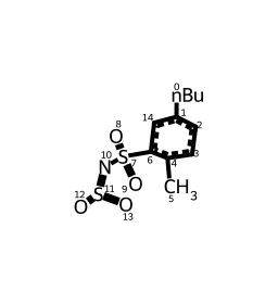 CCCCc1ccc(C)c(S(=O)(=O)N=S(=O)=O)c1